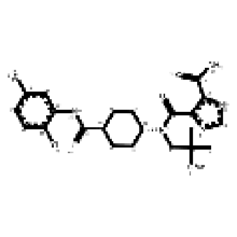 COC(C)(C)CN(C(=O)c1nc[nH]c1C(N)=O)[C@H]1CC[C@H](C(=O)Nc2cc(C(F)(F)F)ccc2Cl)CC1